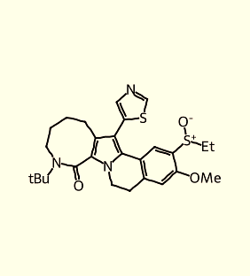 CC[S+]([O-])c1cc2c(cc1OC)CCn1c3c(c(-c4cncs4)c1-2)CCCCN(C(C)(C)C)C3=O